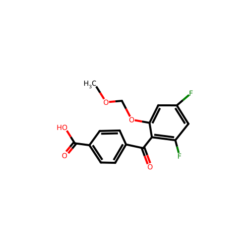 COCOc1cc(F)cc(F)c1C(=O)c1ccc(C(=O)O)cc1